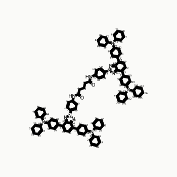 O=C(CCCC(=O)Nc1ccc(-n2nc3c(-c4ccc(N(c5ccccc5)c5ccccc5)cc4)ccc(-c4ccc(N(c5ccccc5)c5ccccc5)cc4)c3n2)cc1)Nc1ccc(-n2nc3c(-c4ccc(N(c5ccccc5)c5ccccc5)cc4)ccc(-c4ccc(N(c5ccccc5)c5ccccc5)cc4)c3n2)cc1